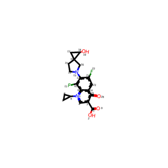 O=C(O)c1cn(C2CC2)c2c(F)c(N3CCC4(CC4O)C3)c(F)cc2c1=O